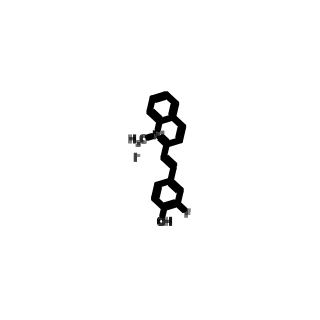 C[n+]1c(/C=C/c2ccc(O)c(F)c2)ccc2ccccc21.[I-]